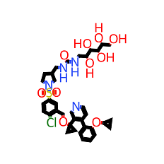 O=C(NCC1CCN(S(=O)(=O)c2ccc(Cl)c(COC3(c4cnccc4-c4ccccc4OC4CC4)CC3)c2)C1)NC[C@H](O)[C@@H](O)[C@H](O)[C@H](O)CO